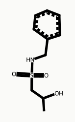 CC(O)CS(=O)(=O)NCc1ccccc1